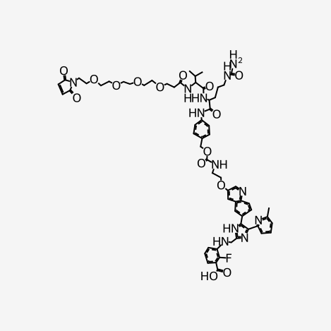 Cc1cccc(-c2nc(CNc3cccc(C(=O)O)c3F)[nH]c2-c2ccc3ncc(OCCNC(=O)OCc4ccc(NC(=O)C(CCCNC(N)=O)NC(=O)C(NC(=O)CCOCCOCCOCCOCCN5C(=O)C=CC5=O)C(C)C)cc4)cc3c2)n1